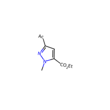 CCOC(=O)c1cc(C(C)=O)nn1C